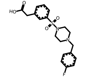 O=C(O)Cc1cccc(S(=O)(=O)N2CCN(Cc3ccc(F)cc3)CC2)c1